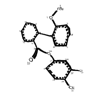 CCCCOc1ccccc1-c1ccccc1C(=O)Oc1ccc(C#N)c(Cl)c1